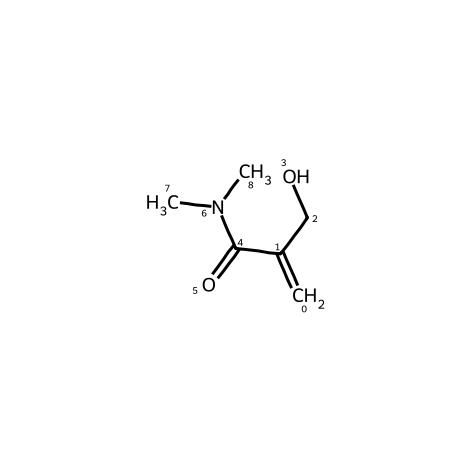 C=C(CO)C(=O)N(C)C